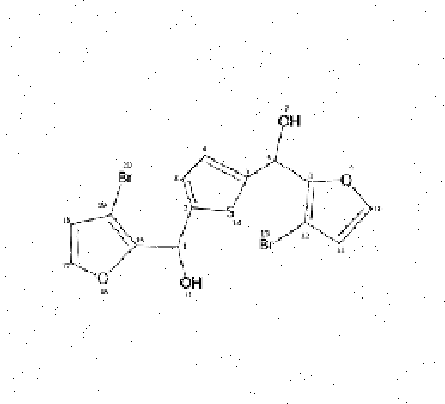 OC(c1ccc(C(O)c2occc2Br)s1)c1occc1Br